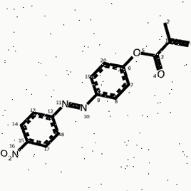 C=C(C)C(=O)Oc1ccc(N=Nc2ccc([N+](=O)[O-])cc2)cc1